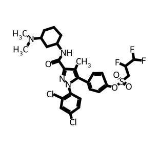 Cc1c(C(=O)NC2CCCC(N(C)C)C2)nn(-c2ccc(Cl)cc2Cl)c1-c1ccc(OS(=O)(=O)CC(F)C(F)F)cc1